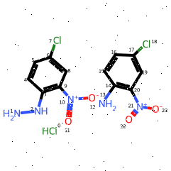 Cl.NNc1ccc(Cl)cc1[N+](=O)[O-].Nc1ccc(Cl)cc1[N+](=O)[O-]